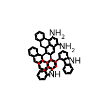 Nc1cc(N)c2cc(-c3c(-c4cccc5[nH]c6ccccc6c45)ccc4ccccc34)c(-c3c(-c4cccc5[nH]c6ccccc6c45)ccc4ccccc34)c3c2c1-c1ccccc1C3